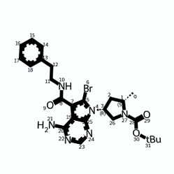 C[C@H]1C[C@@H](n2c(Br)c(C(=O)NCCc3ccccc3)c3c(N)ncnc32)CN1C(=O)OC(C)(C)C